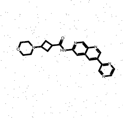 O=C(Nc1cc2cc(-c3cnccn3)cnc2cn1)C1CC(N2CCOCC2)C1